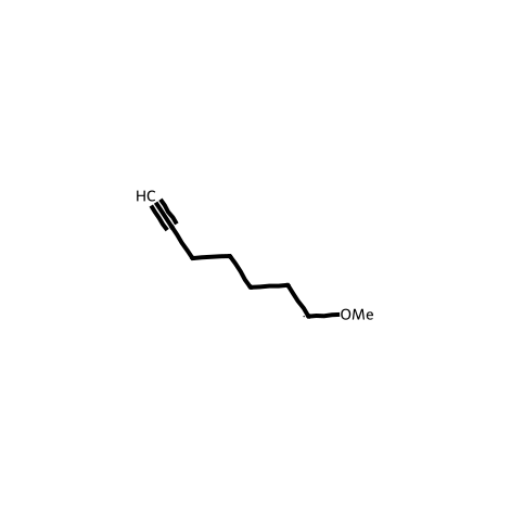 C#CCCCC[CH]OC